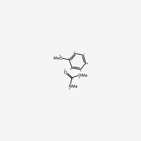 CNC(=O)OC.COc1ccccc1